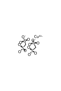 O=S(=O)([O-])CS(=O)(=O)[O-].O=S(=O)([O-])CS(=O)(=O)[O-].[Cu+4]